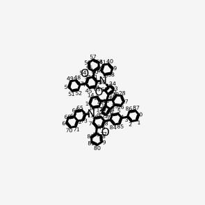 c1ccc(-c2ccc(-c3cc(N(c4ccc5c(c4)C4(c6ccccc6-c6ccccc64)c4cccc(N(c6ccccc6)c6ccc(-c7ccccc7)c7oc8ccccc8c67)c4O5)c4ccc5ccccc5c4)cc4c3oc3ccccc34)cc2)cc1